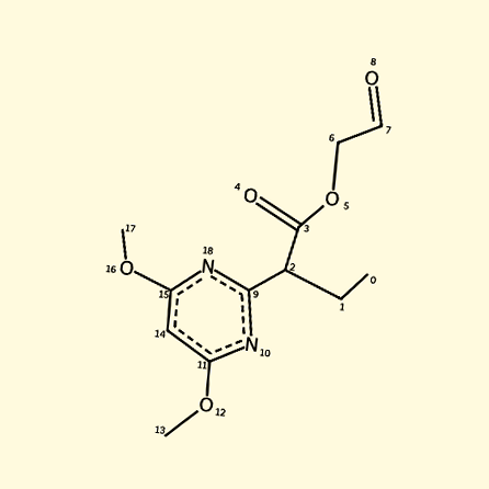 CCC(C(=O)OCC=O)c1nc(OC)cc(OC)n1